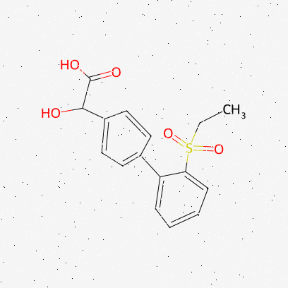 CCS(=O)(=O)c1ccccc1-c1ccc(C(O)C(=O)O)cc1